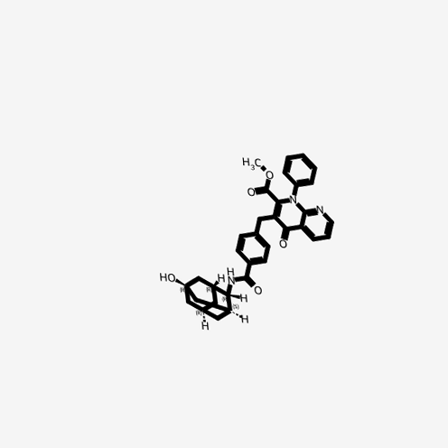 COC(=O)c1c(Cc2ccc(C(=O)N[C@H]3[C@@H]4C[C@H]5C[C@H]3C[C@](O)(C5)C4)cc2)c(=O)c2cccnc2n1-c1ccccc1